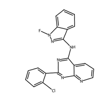 Fn1nc(Nc2nc(-c3ccccc3Cl)nc3ncccc23)c2ccccc21